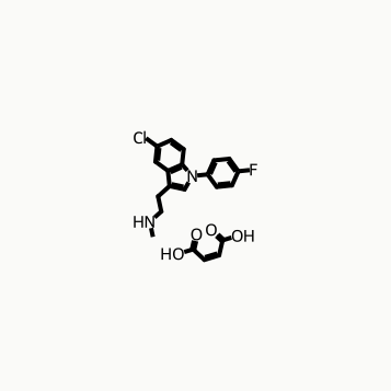 CNCCc1cn(-c2ccc(F)cc2)c2ccc(Cl)cc12.O=C(O)/C=C\C(=O)O